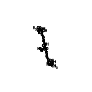 CC(=O)N1CC[C@H]2O[C@H](COCCOCCOCCNC(=O)CC(SCC(=O)S)C(=O)NCCOCCOCCOC[C@H]3O[C@@H]4CCN(C(C)=O)[C@@H]4[C@@H](O)[C@H]3O)[C@H](O)[C@H](O)[C@H]21